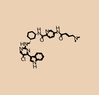 CN(C)C/C=C/C(=O)Nc1ccc(C(=O)N[C@H]2CCC[C@@H](CNc3ncc(Cl)c(-c4c[nH]c5ccccc45)n3)C2)nc1